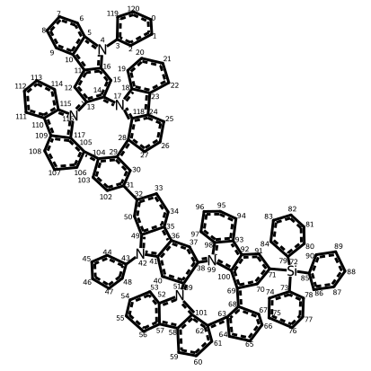 c1ccc(-n2c3ccccc3c3cc4c(cc32)n2c3ccccc3c3cccc(c5cc(-c6ccc7c8cc9c(cc8n(-c8ccccc8)c7c6)n6c7ccccc7c7cccc(c8ccccc8c8cc([Si](c%10ccccc%10)(c%10ccccc%10)c%10ccccc%10)cc%10c%11ccccc%11n9c8%10)c76)ccc5c5cccc6c7ccccc7n4c56)c32)cc1